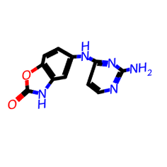 Nc1nccc(Nc2ccc3oc(=O)[nH]c3c2)n1